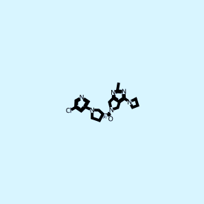 Cc1nc2c(c(N3CCC3)n1)CN(C(=O)[C@@H]1CCN(c3cncc(Cl)c3)C1)C2